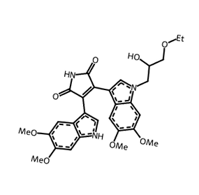 CCOCC(O)Cn1cc(C2=C(c3c[nH]c4cc(OC)c(OC)cc34)C(=O)NC2=O)c2cc(OC)c(OC)cc21